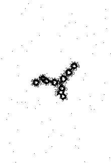 CC1(C)c2ccccc2-c2ccc(N(c3ccc(-c4ccc(-c5ccccc5)cc4)cc3)c3ccc(-c4ccc5c(ccn5-c5ccccc5)c4)cc3)cc21